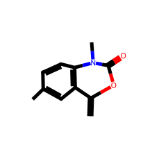 C=C1OC(=O)N(C)c2ccc(C)cc21